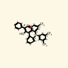 Oc1c(-c2ccccc2)cccc1-c1ccccc1P(c1cc(C(F)(F)F)cc(C(F)(F)F)c1)c1cc(C(F)(F)F)cc(C(F)(F)F)c1